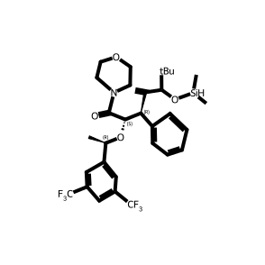 C=C(C(O[SiH](C)C)C(C)(C)C)[C@@H](c1ccccc1)[C@H](O[C@H](C)c1cc(C(F)(F)F)cc(C(F)(F)F)c1)C(=O)N1CCOCC1